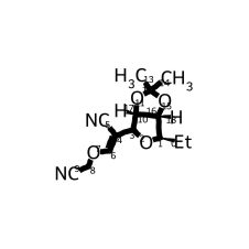 CC[C@H]1OC(C(C#N)=COCC#N)[C@@H]2OC(C)(C)O[C@H]12